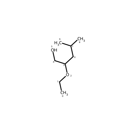 CCOC(CO)CC(C)C